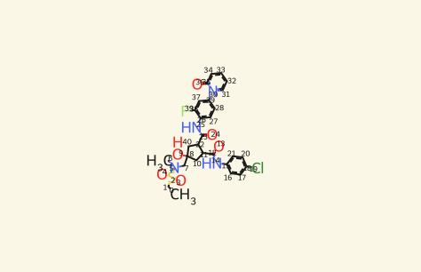 CCS(=O)(=O)N(C)CC1(O)CC(C(=O)Nc2ccc(Cl)cc2)C(C(=O)Nc2ccc(-n3ccccc3=O)cc2F)C1